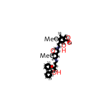 COC(=O)C(C/C(C)=C/CCC(C)(C)[Si](O)(c1ccccc1)c1ccccc1)C/C(C)=C/Cc1c(O)c2c(c(C)c1OC)COC2=O